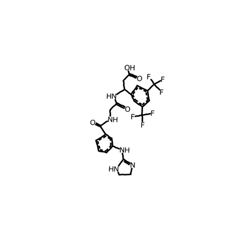 O=C(O)CC(NC(=O)CNC(=O)c1cccc(NC2=NCCN2)c1)c1cc(C(F)(F)F)cc(C(F)(F)F)c1